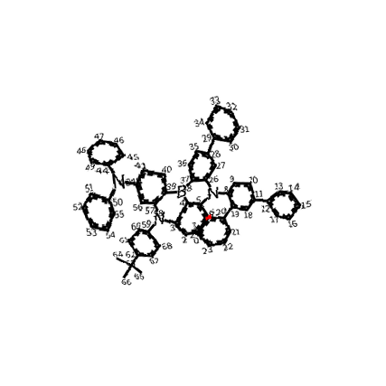 Cc1cc2c3c(c1)N(c1ccc(-c4ccccc4)cc1-c1ccccc1)c1cc(-c4ccccc4)ccc1B3c1ccc(N(c3ccccc3)c3ccccc3)cc1N2c1ccc(C(C)(C)C)cc1